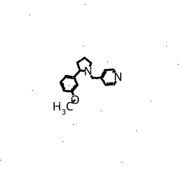 COc1cccc(C2CCCN2Cc2ccncc2)c1